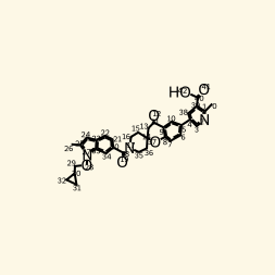 Cc1ncc(-c2ccc3c(c2)C(=O)CC2(CCN(C(=O)c4ccc5cc(C)n(OCC6CC6)c5c4)CC2)O3)cc1C(=O)O